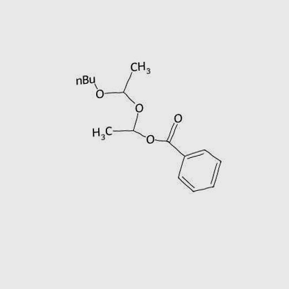 CCCCOC(C)OC(C)OC(=O)c1ccccc1